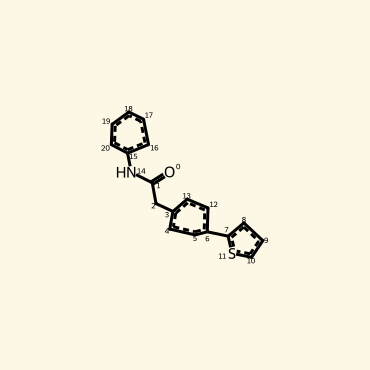 O=C(Cc1ccc(-c2cccs2)cc1)Nc1ccccc1